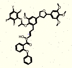 COc1cc(C2COC(c3cc(OC)c(OC)c(OC)c3)C2)cc(C/C=C/N(O)C(=O)c2ccccc2Oc2ccccc2)c1OC(C)Sc1c(F)c(F)cc(F)c1F